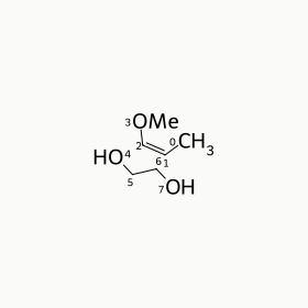 C/C=C\OC.OCCO